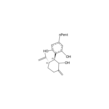 C=C1CC[C@H](C(=C)C)[C@@H](c2c(O)cc(CCCCC)cc2O)C1O